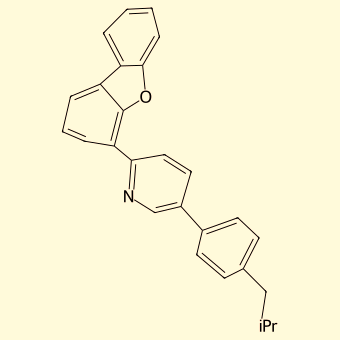 CC(C)Cc1ccc(-c2ccc(-c3cccc4c3oc3ccccc34)nc2)cc1